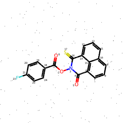 O=C(ON1C(=O)c2cccc3cccc(c23)C1=S)c1ccc(F)cc1